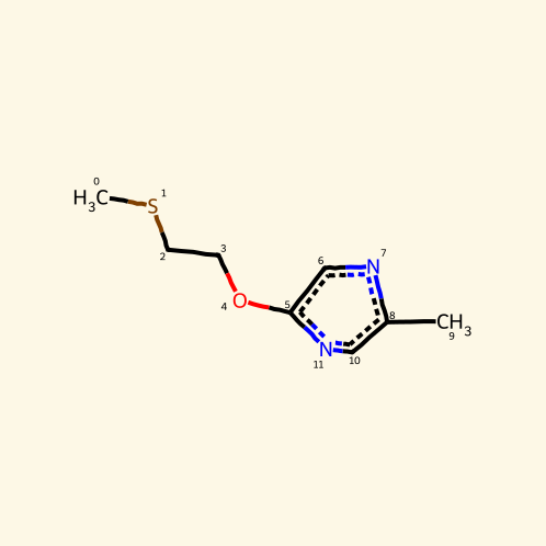 CSCCOc1cnc(C)cn1